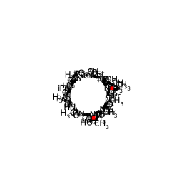 C/C=C\C[C@H](C)[C@H](O)[C@H]1C(=O)N[C@H](CC)C(=O)N(C)CC(=O)N(C)[C@H](CC(C)C)C(=O)N[C@H](C(C)C)C(=O)N(C)[C@H](CC(C)C)C(=O)NC(C)C(=O)NC(C)C(=O)N(C)C(CC(C)CO)C(=O)N(C)C(CC(C)C)C(=O)N(C)[C@H](C(C)C)C(=O)N1C